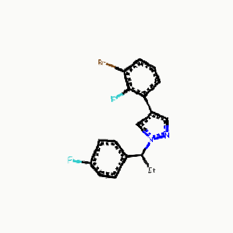 CCC(c1ccc(F)cc1)n1cc(-c2cccc(Br)c2F)cn1